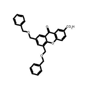 O=C(O)c1ccc2oc3c(COCc4ccccc4)cc(COCc4ccccc4)cc3c(=O)c2c1